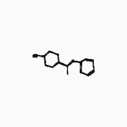 CCCC1CCC(C(C)Oc2ccccc2)CC1